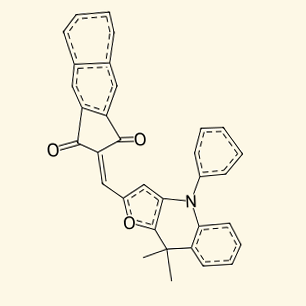 CC1(C)c2ccccc2N(c2ccccc2)c2cc(C=C3C(=O)c4cc5ccccc5cc4C3=O)oc21